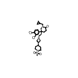 CS(=O)(=O)N1CCC(C2CN(CCC3(c4ccc(Cl)c(Cl)c4)CCC(=O)N(CC4CC4)C3)C2)CC1